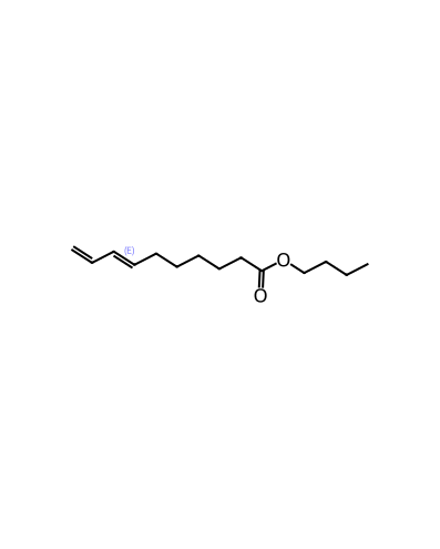 C=C/C=C/CCCCCC(=O)OCCCC